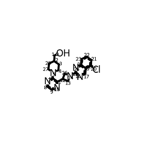 OCC1CCN(c2nccnc2C2CN(c3ncc4c(Cl)cccc4n3)C2)CC1